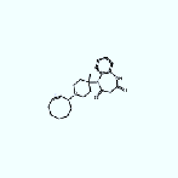 CC1(N2C(=O)CC(=O)Nc3ccccc32)CCN(C2/C=C\CCCCC2)CC1